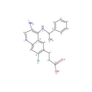 CC(Nc1c(N)cnc2cc(Br)c(CCC(=O)O)cc12)c1ccccc1